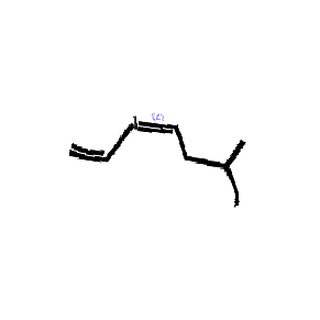 C=C/I=C\CC(C)C